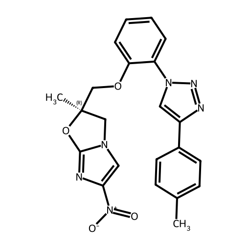 Cc1ccc(-c2cn(-c3ccccc3OC[C@@]3(C)Cn4cc([N+](=O)[O-])nc4O3)nn2)cc1